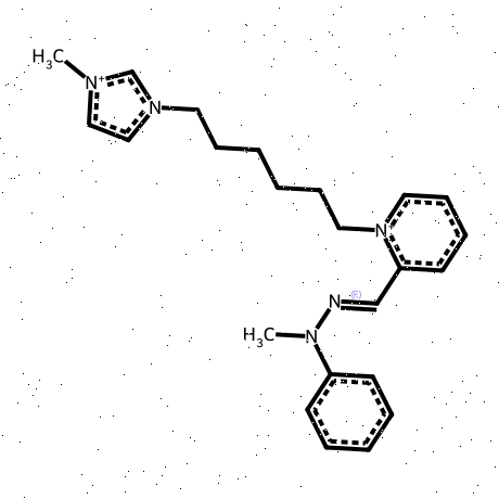 CN(/N=C/c1cccc[n+]1CCCCCCn1cc[n+](C)c1)c1ccccc1